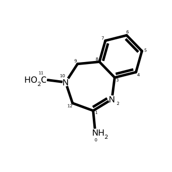 NC1=Nc2ccccc2CN(C(=O)O)C1